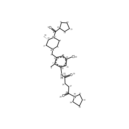 Cc1c(CN2CCN(C(=O)C3CCCC3)[C@@H](C)C2)cc(Cl)cc1NC(=O)CCC(=O)N1CCCC1